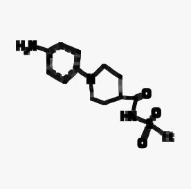 CCS(=O)(=O)NC(=O)C1CCN(c2ccc(N)cc2)CC1